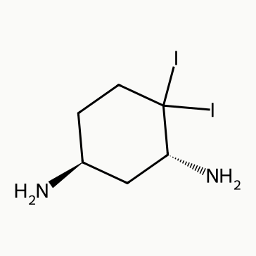 N[C@H]1CCC(I)(I)[C@H](N)C1